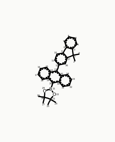 CC1(C)c2ccccc2-c2ccc(-c3c4ccccc4c(B4OC(C)(C)C(C)(C)O4)c4ccccc34)cc21